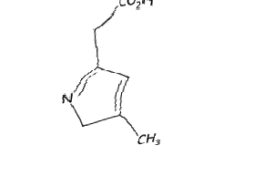 CC1=CC(CC(=O)O)=NC1